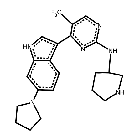 FC(F)(F)c1cnc(NC2CCCNC2)nc1-c1c[nH]c2cc(N3CCCC3)ccc12